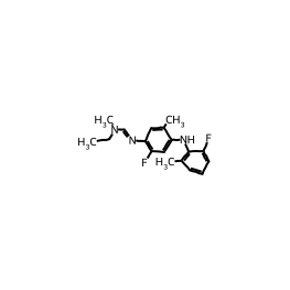 CCN(C)C=Nc1cc(C)c(Nc2c(C)cccc2F)cc1F